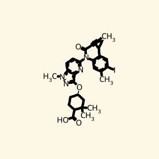 CC#CC(=O)N(c1ccc2c(n1)c(O[C@H]1CCC(C(=O)O)C(C)(C)C1)nn2C)c1cc(C)c(I)cc1C1CC1